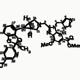 CCn1cncc1Cn1c(CN2C[C@@H]3[C@H](C2)[C@@H]3c2cccc3c2OC(C)(c2ccc(Cl)cn2)O3)nc2c(OC)cc(C(=O)OC)cc21